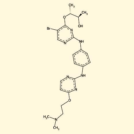 C[C@@H](O)[C@@H](C)Oc1nc(Nc2ccc(Nc3nccc(OCCN(C)C)n3)cc2)ncc1Br